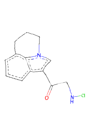 O=C(CNCl)c1cn2c3c(cccc13)CCC2